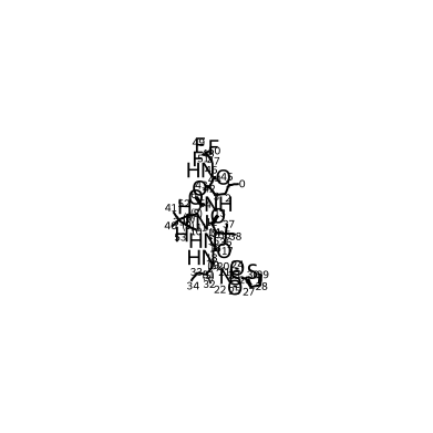 CCCC(NC(=O)[C@@H]1[C@@H]2[C@H](CN1C(=O)[C@@H](NC(=O)N[C@H](CN(C)S(=O)(=O)c1cccs1)[C@@H](C)CC)C(C)(C)C)C2(C)C)C(=O)C(=O)NCC(F)(F)F